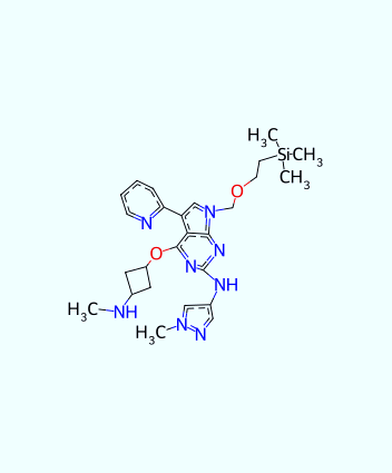 CNC1CC(Oc2nc(Nc3cnn(C)c3)nc3c2c(-c2ccccn2)cn3COCC[Si](C)(C)C)C1